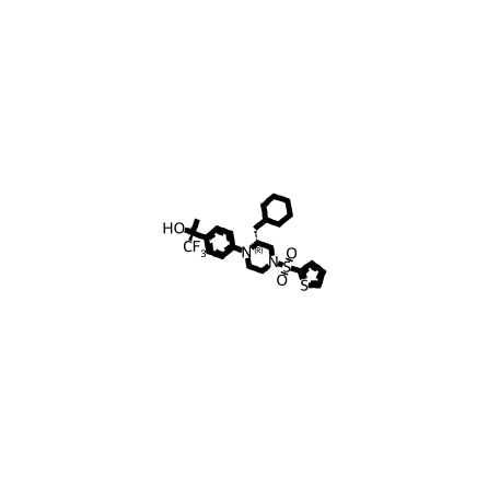 C[C@@](O)(c1ccc(N2CCN(S(=O)(=O)c3cccs3)C[C@H]2CC2CCCCC2)cc1)C(F)(F)F